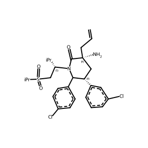 C=CC[C@@]1(N)C[C@H](c2cccc(Cl)c2)C(c2ccc(Cl)cc2)N([C@H](CS(=O)(=O)C(C)C)C(C)C)C1=O